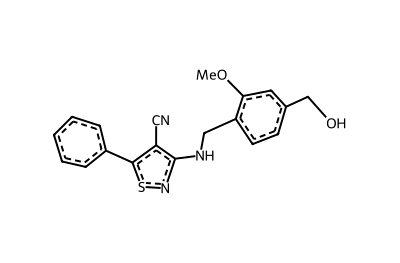 COc1cc(CO)ccc1CNc1nsc(-c2ccccc2)c1C#N